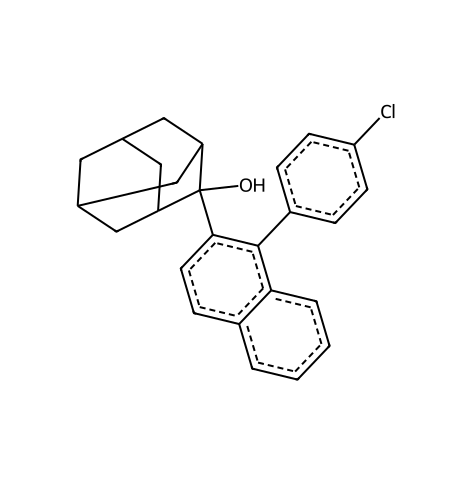 OC1(c2ccc3ccccc3c2-c2ccc(Cl)cc2)C2CC3CC(C2)CC1C3